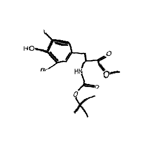 COC(=O)C(Cc1cc(Br)c(O)c(I)c1)NC(=O)OC(C)(C)C